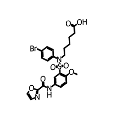 COc1ccc(NC(=O)c2ncco2)cc1S(=O)(=O)N(CCCCCC(=O)O)c1ccc(Br)cc1